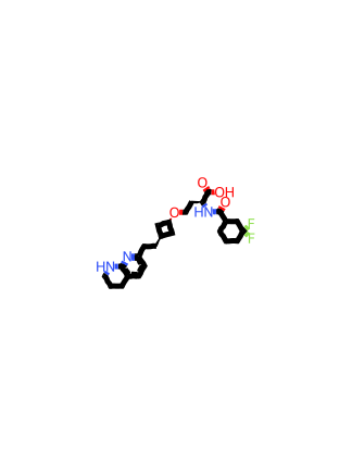 O=C(N[C@@H](CCO[C@H]1C[C@H](CCc2ccc3c(n2)NCCC3)C1)C(=O)O)C1CCCC(F)(F)C1